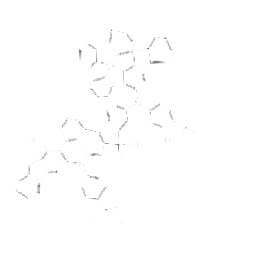 Cc1cc(N(c2ccc(C(C)(C)C)cc2)c2cc3c(c4ccccc24)-c2ccc(N(c4ccc(C(C)(C)C)cc4)c4cc([Si](c5ccccc5)(c5ccccc5)c5ccccc5)c5oc6ccccc6c5c4)cc2C3(C)C)cc2c1oc1ccccc12